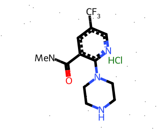 CNC(=O)c1cc(C(F)(F)F)cnc1N1CCNCC1.Cl